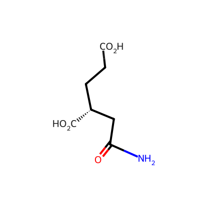 NC(=O)C[C@@H](CCC(=O)O)C(=O)O